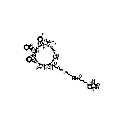 CC(C)C[C@H]1NC(=O)[C@@H](NC(=O)COCCOCCOCCNC(=O)CCCC[C@H]2SC[C@H]3NC(=O)N[C@H]32)Cc2cn(nn2)CCCC[C@@H](C(N)=O)NC(=O)[C@H](Cc2ccc(F)cc2)NC(=O)[C@H](Cc2cn(C)c3ccccc23)NC(=O)[C@@H](Cc2ccccc2)NC1=O